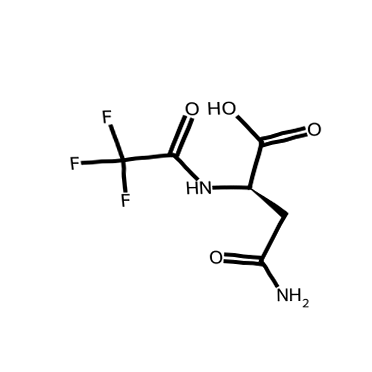 NC(=O)C[C@@H](NC(=O)C(F)(F)F)C(=O)O